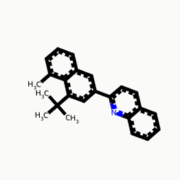 Cc1cccc2cc(-c3ccc4ccccc4n3)cc(C(C)(C)C)c12